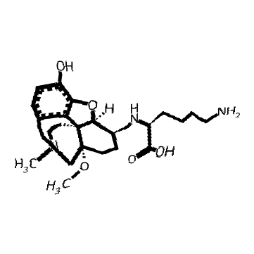 CO[C@@]12CC[C@H](N[C@@H](CCCCN)C(=O)O)[C@@H]3Oc4c(O)ccc5c4[C@@]31CCN(C)C2C5